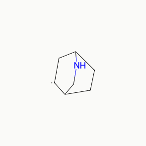 [CH]1CC2CCC1CN2